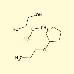 CCCOC1CCCC1.COC.OCCO